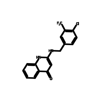 O=c1cc(NCc2ccc(Cl)c(C(F)(F)F)c2)[nH]c2ccccc12